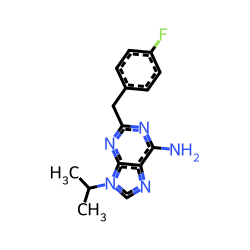 CC(C)n1cnc2c(N)nc(Cc3ccc(F)cc3)nc21